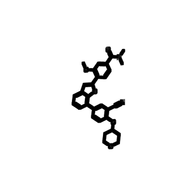 COc1cc(C(=O)N(C)C)ccc1-c1cc2cccc(-c3ccc(OC4CCOCC4)c(C#N)c3)c2o1